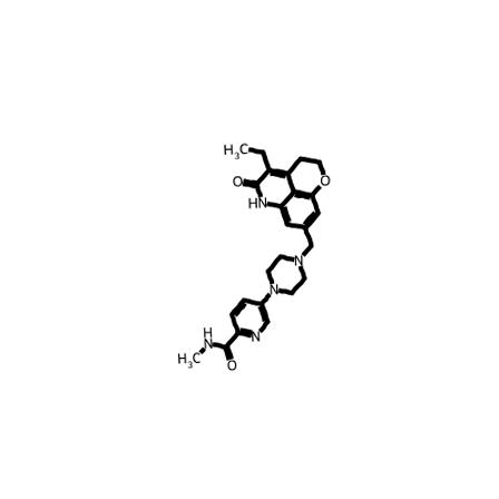 CCc1c2c3c(cc(CN4CCN(c5ccc(C(=O)NC)nc5)CC4)cc3[nH]c1=O)OCC2